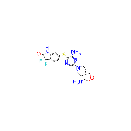 Nc1nc(N2CCC3(CC2)COCC3N)cnc1Sc1ccc2c(c1)NC(=O)C2(F)F